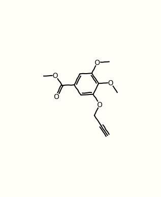 C#CCOc1cc(C(=O)OC)cc(OC)c1OC